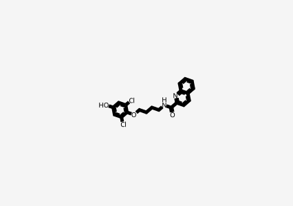 O=C(NCCCCOc1c(Cl)cc(O)cc1Cl)c1ccc2ccccc2n1